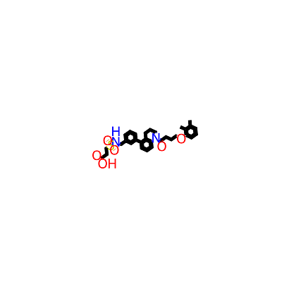 Cc1cccc(OCCCC(=O)N2CCCc3c(-c4cccc(CNS(=O)(=O)CCC(=O)O)c4)cccc32)c1C